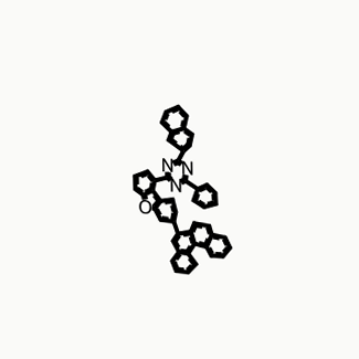 c1ccc(-c2nc(-c3ccc4ccccc4c3)nc(-c3cccc4oc5cc(-c6cc7ccccc7c7c6ccc6ccccc67)ccc5c34)n2)cc1